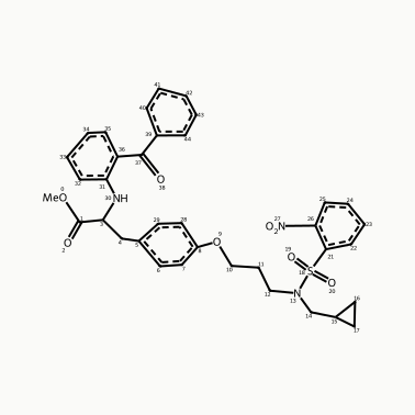 COC(=O)C(Cc1ccc(OCCCN(CC2CC2)S(=O)(=O)c2ccccc2[N+](=O)[O-])cc1)Nc1ccccc1C(=O)c1ccccc1